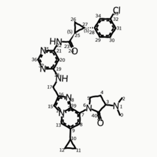 CN(C)C1CCN(c2cc(C3CC3)cn3cc(CNc4cc(NC(=O)[C@H]5C[C@@H]5c5cccc(Cl)c5)ncn4)nc23)C1=O